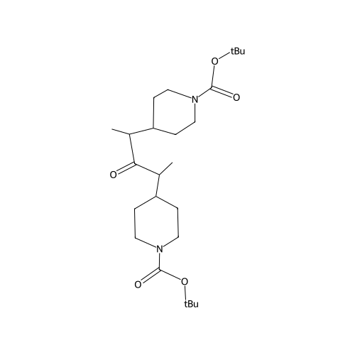 CC(C(=O)C(C)C1CCN(C(=O)OC(C)(C)C)CC1)C1CCN(C(=O)OC(C)(C)C)CC1